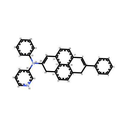 C1=C(c2ccccc2)Cc2ccc3c4c(ccc1c24)C=C(N(c1ccccc1)c1cccnc1)C3